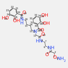 NOCC(=O)NCCNC(=O)CN(CCCCNC(=O)c1cccc(O)c1O)C(=O)c1cccc(O)c1O